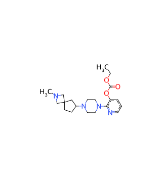 CCOC(=O)Oc1cccnc1N1CCN(C2CCC3(C2)CN(C)C3)CC1